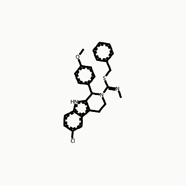 C/N=C(/SCc1ccccc1)N1CCc2c([nH]c3ccc(Cl)cc23)C1c1ccc(OC)cc1